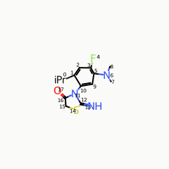 CC(C)c1cc(F)c(N(C)C)cc1N1C(=N)SCC1=O